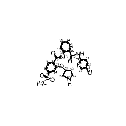 CS(=O)(=O)c1ccc(C(=O)Nc2cccnc2C(=O)Nc2ccc(Cl)cn2)c(O[C@H]2CCNC2)c1